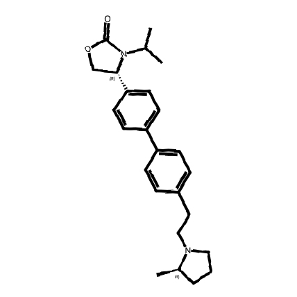 CC(C)N1C(=O)OC[C@H]1c1ccc(-c2ccc(CCN3CCC[C@H]3C)cc2)cc1